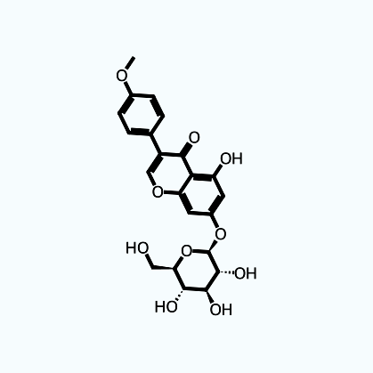 COc1ccc(-c2coc3cc(O[C@@H]4O[C@H](CO)[C@@H](O)[C@H](O)[C@H]4O)cc(O)c3c2=O)cc1